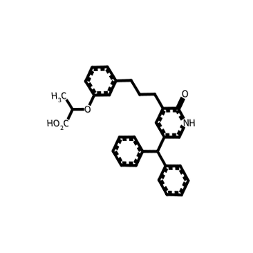 CC(Oc1cccc(CCCc2cc(C(c3ccccc3)c3ccccc3)c[nH]c2=O)c1)C(=O)O